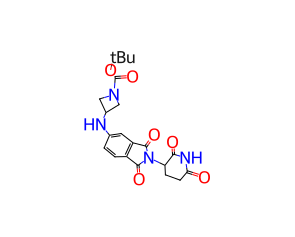 CC(C)(C)OC(=O)N1CC(Nc2ccc3c(c2)C(=O)N(C2CCC(=O)NC2=O)C3=O)C1